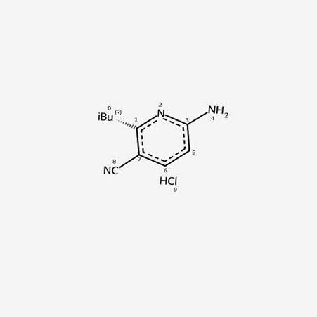 CC[C@@H](C)c1nc(N)ccc1C#N.Cl